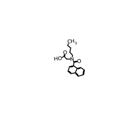 CCCCCN(CC(=O)O)C(=O)c1cccc2ccccc12